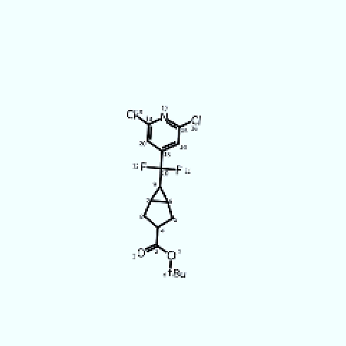 CC(C)(C)OC(=O)C1CC2C(C1)C2C(F)(F)c1cc(Cl)nc(Cl)c1